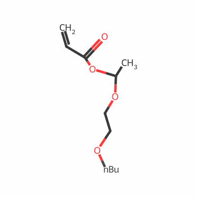 C=CC(=O)OC(C)OCCOCCCC